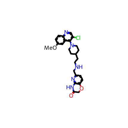 COc1ccc2ncc(Cl)c(N3CCC(CCNCc4ccc5c(n4)NC(=O)CO5)CC3)c2c1